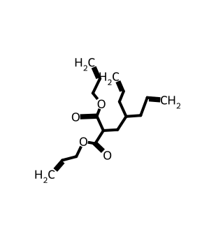 C=CCOC(=O)C(CC(CC=C)CC=C)C(=O)OCC=C